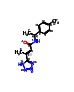 C/C(=C\C(=O)N[C@@H](C)c1ccc(C(F)(F)F)cc1)c1nnn[nH]1